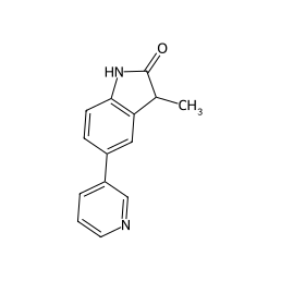 CC1C(=O)Nc2ccc(-c3cccnc3)cc21